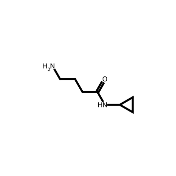 NCCCC(=O)NC1CC1